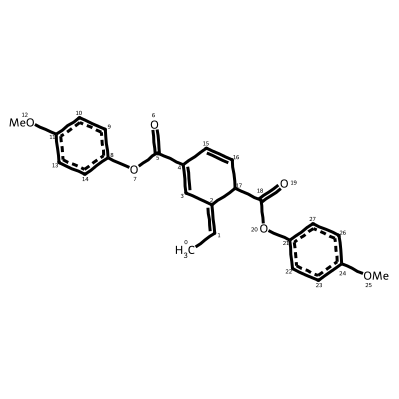 CC=C1C=C(C(=O)Oc2ccc(OC)cc2)C=CC1C(=O)Oc1ccc(OC)cc1